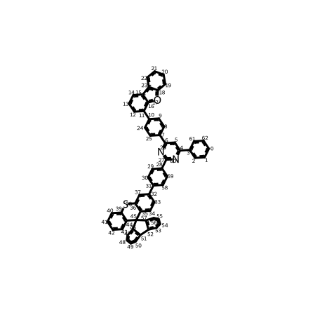 c1ccc(-c2cc(-c3ccc(-c4cccc5c4oc4ccccc45)cc3)nc(-c3ccc(-c4ccc5c(c4)Sc4ccccc4C54c5ccccc5-c5ccccc54)cc3)n2)cc1